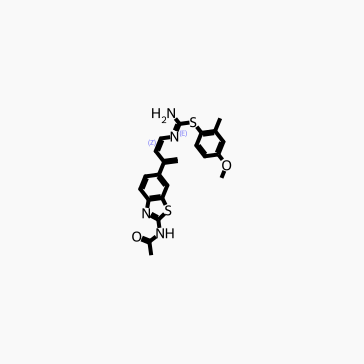 C=C(/C=C\N=C(/N)Sc1ccc(OC)cc1C)c1ccc2nc(NC(C)=O)sc2c1